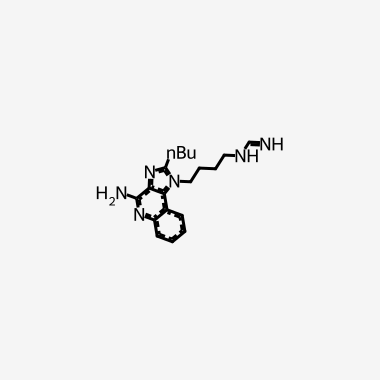 CCCCc1nc2c(N)nc3ccccc3c2n1CCCCNC=N